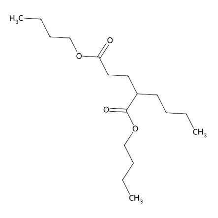 CCCCOC(=O)CCC(CCCC)C(=O)OCCCC